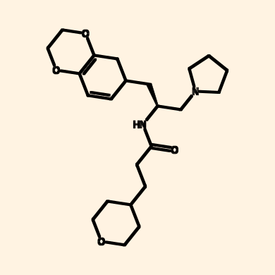 O=C(CCC1CCOCC1)N[C@@H](CC1C=CC2=C(C1)OCCO2)CN1CCCC1